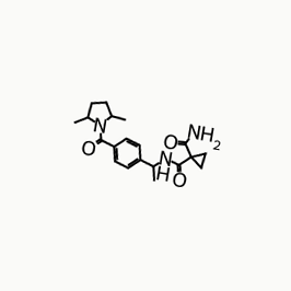 CC(NC(=O)C1(C(N)=O)CC1)c1ccc(C(=O)N2C(C)CCC2C)cc1